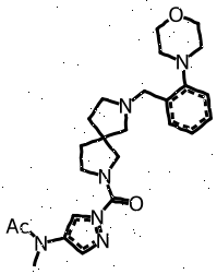 CC(=O)N(C)c1cnn(C(=O)N2CCC3(CCN(Cc4ccccc4N4CCOCC4)C3)C2)c1